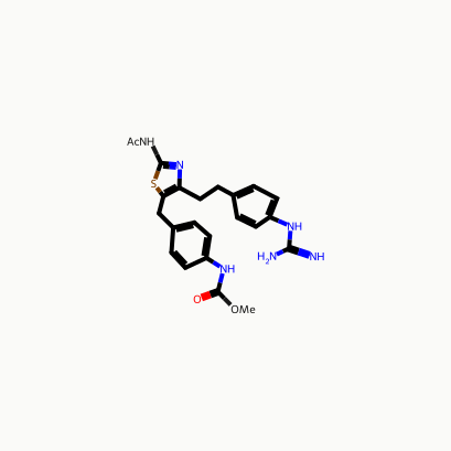 COC(=O)Nc1ccc(Cc2sc(NC(C)=O)nc2CCc2ccc(NC(=N)N)cc2)cc1